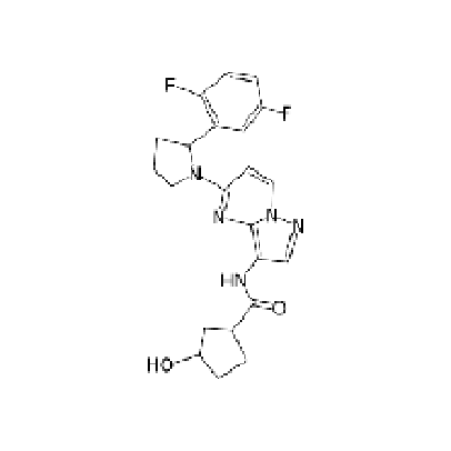 O=C(Nc1cnn2ccc(N3CCCC3c3cc(F)ccc3F)nc12)C1CCC(O)C1